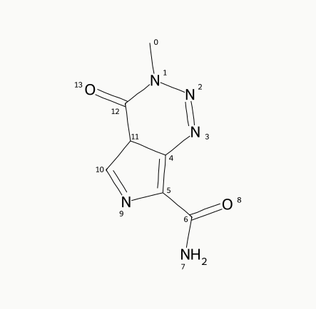 CN1N=NC2=C(C(N)=O)N=CC2C1=O